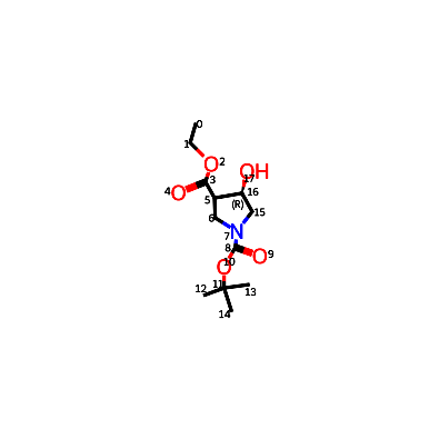 CCOC(=O)C1CN(C(=O)OC(C)(C)C)C[C@@H]1O